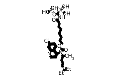 CCN(CC)CCCC(C)N(C(=O)OCCCCCCCC(=O)NC(OP(O)O)OP(O)O)c1ccnc2cc(Cl)ccc12